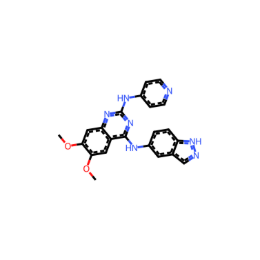 COc1cc2nc(Nc3ccncc3)nc(Nc3ccc4[nH]ncc4c3)c2cc1OC